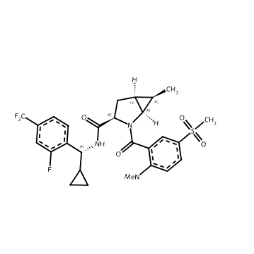 CNc1ccc(S(C)(=O)=O)cc1C(=O)N1[C@@H]2[C@H](C)[C@@H]2C[C@@H]1C(=O)N[C@@H](c1ccc(C(F)(F)F)cc1F)C1CC1